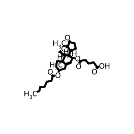 CCCCCCC(=O)OC1CC[C@@]2(C)C(=CC(OC(=O)CCCC(=O)O)[C@@H]3[C@H]2CC[C@]2(C)C(=O)CC[C@@H]32)C1